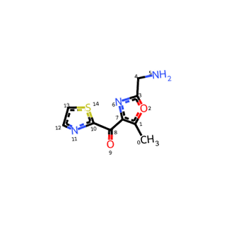 Cc1oc(CN)nc1C(=O)c1nccs1